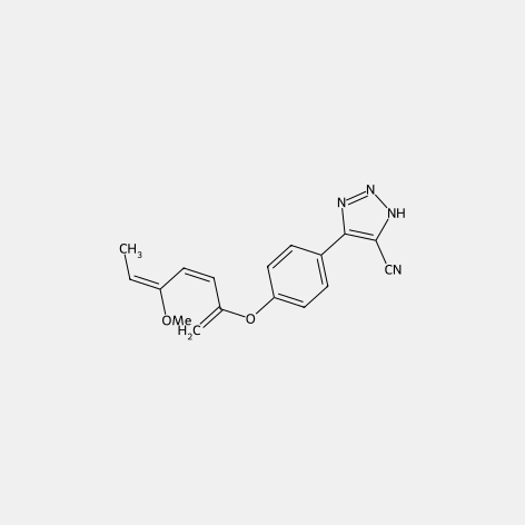 C=C(/C=C\C(=C/C)OC)Oc1ccc(-c2nn[nH]c2C#N)cc1